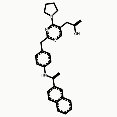 C=C(O)Cc1cnc(Cc2ccc(NC(=C)c3ccc4ccccc4c3)cc2)nc1N1CCCC1